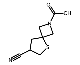 N#CC1CSC2(C1)CN(C(=O)O)C2